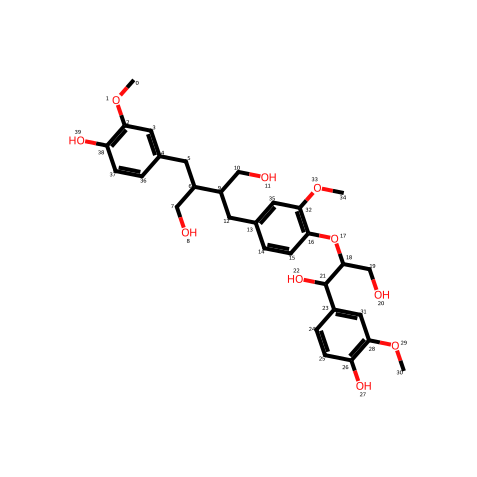 COc1cc(CC(CO)C(CO)Cc2ccc(OC(CO)C(O)c3ccc(O)c(OC)c3)c(OC)c2)ccc1O